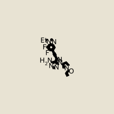 C=CC(=O)N1CCC(n2nc(C#Cc3cc4ncn(CC)c4c(F)c3F)c3c(N)ncnc32)C1